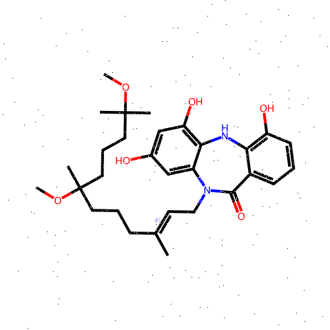 COC(C)(C)CCCC(C)(CCC/C(C)=C/CN1C(=O)c2cccc(O)c2Nc2c(O)cc(O)cc21)OC